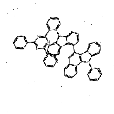 c1ccc(-c2nc(-c3ccccc3)nc(-c3ccccc3-n3c4ccccc4c4c(-c5cc6ccccc6c6c5c5ccccc5n6-c5ccccc5)cccc43)n2)cc1